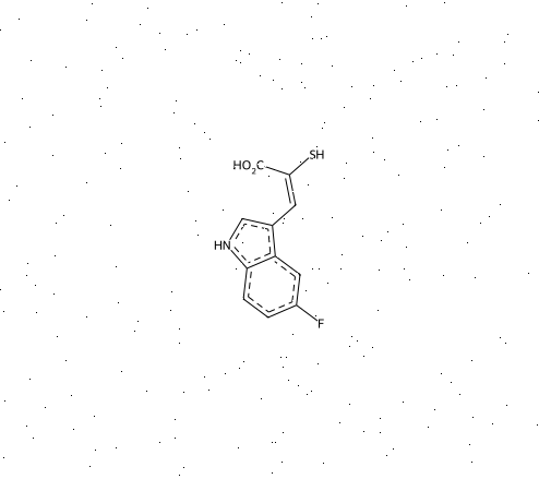 O=C(O)/C(S)=C\c1c[nH]c2ccc(F)cc12